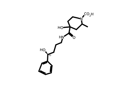 CC1CC(O)(C(=O)NCCC[C@H](O)c2ccccc2)CCN1C(=O)O